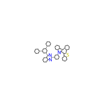 c1ccc(-c2cc(-c3ccccc3)cc(-c3nc(-c4cccc(-n5c6ccccc6c6c7ccccc7c7sc8ccccc8c7c65)c4)nc4ccccc34)c2)cc1